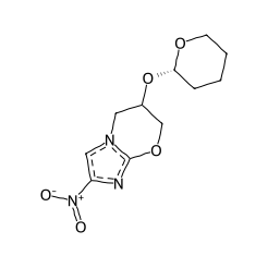 O=[N+]([O-])c1cn2c(n1)OCC(O[C@H]1CCCCO1)C2